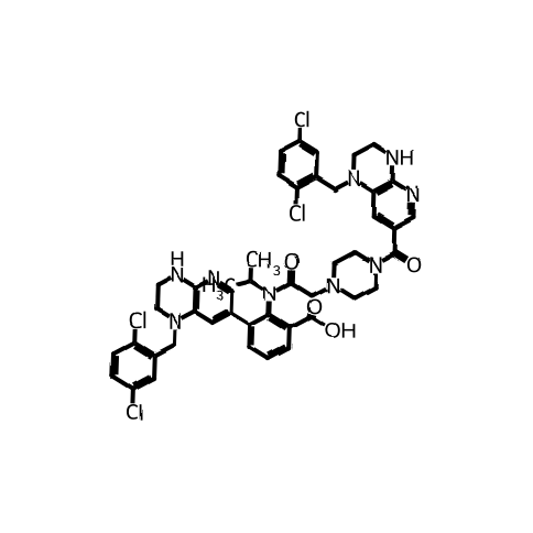 CC(C)N(C(=O)CN1CCN(C(=O)c2cnc3c(c2)N(Cc2cc(Cl)ccc2Cl)CCN3)CC1)c1c(C(=O)O)cccc1-c1cnc2c(c1)N(Cc1cc(Cl)ccc1Cl)CCN2